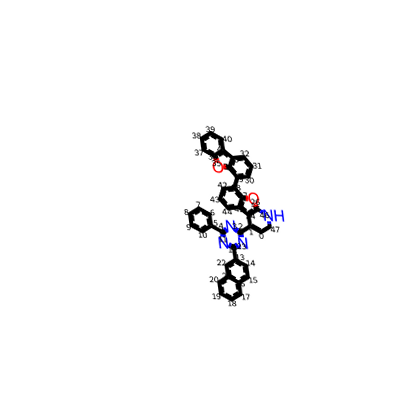 C1=C(c2nc(-c3ccccc3)nc(-c3ccc4ccccc4c3)n2)c2c(oc3c(-c4cccc5c4oc4ccccc45)cccc23)NC1